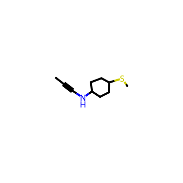 CC#CNC1CCC(SC)CC1